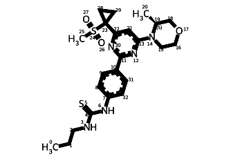 CCCNC(=S)Nc1ccc(-c2nc(N3CCOC[C@@H]3C)cc(C3(S(C)(=O)=O)CC3)n2)cc1